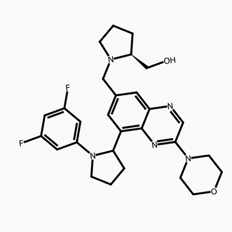 OC[C@@H]1CCCN1Cc1cc(C2CCCN2c2cc(F)cc(F)c2)c2nc(N3CCOCC3)cnc2c1